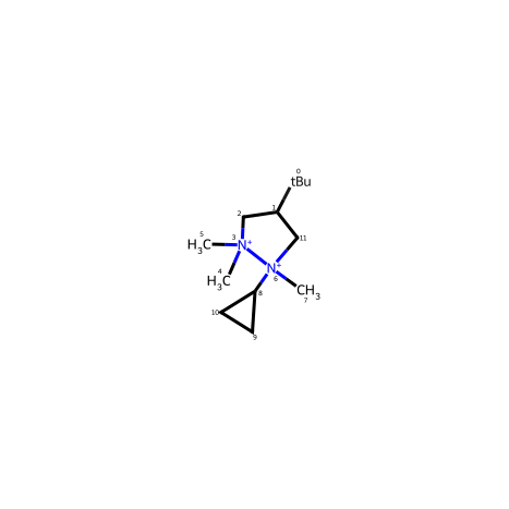 CC(C)(C)C1C[N+](C)(C)[N+](C)(C2CC2)C1